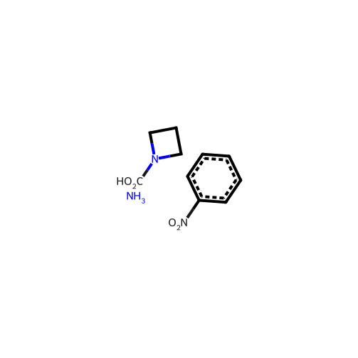 N.O=C(O)N1CCC1.O=[N+]([O-])c1ccccc1